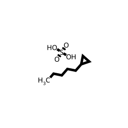 CCCCCC1CC1.O=S(=O)(O)O